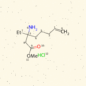 C=CCCCC(N)(CC)CC(=O)OC.Cl